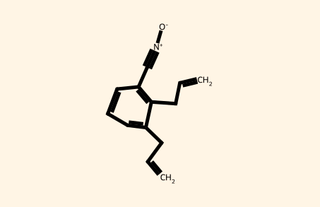 C=CCc1cccc(C#[N+][O-])c1CC=C